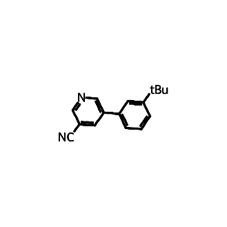 CC(C)(C)c1cccc(-c2cncc(C#N)c2)c1